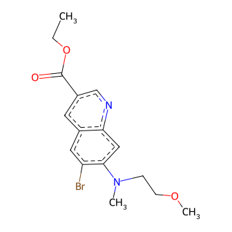 CCOC(=O)c1cnc2cc(N(C)CCOC)c(Br)cc2c1